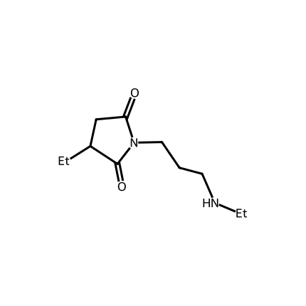 CCNCCCN1C(=O)CC(CC)C1=O